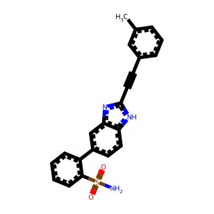 Cc1cccc(C#Cc2nc3cc(-c4ccccc4S(N)(=O)=O)ccc3[nH]2)c1